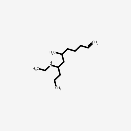 C=CCCCC(C)CC(CCC)NCC